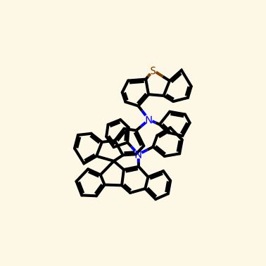 c1ccc(N(c2ccccc2)c2c3c(cc4ccccc24)-c2ccccc2C32c3ccccc3-c3cc(N(c4ccccc4)c4cccc5sc6ccccc6c45)ccc32)cc1